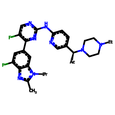 CCN1CCN([C@@H](C(C)=O)c2ccc(Nc3ncc(F)c(-c4cc(F)c5nc(C)n(C(C)C)c5c4)n3)nc2)CC1